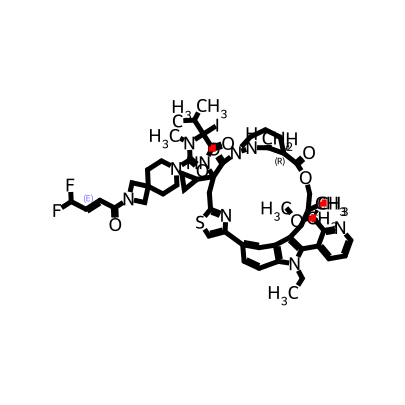 C=C1NN2CCC[C@H]1C(=O)OCC(C)(C)Cc1c(-c3cccnc3[C@H](C)OC)n(CC)c3ccc(cc13)-c1csc(n1)CC(NC(=O)C(I)(C(C)C)N(C)C(=O)N1CCC3(CC1)CN(C(=O)/C=C/C(F)F)C3)(C1CC1)C2=O